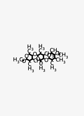 COC1OC(C)C(OC2OC(C)C(OC3OC(C)C(OC)C(C)C3C)C(C)C2C)C(C)C1C